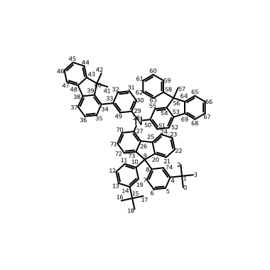 CC(C)(C)c1cccc(C2(c3cccc(C(C)(C)C)c3)c3ccccc3-c3c(N(c4cccc(-c5cccc6c5C(C)(C)c5ccccc5-6)c4)c4ccc5c(c4)C(C)(c4ccccc4)c4ccccc4-5)cccc32)c1